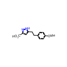 COc1ccc(CCc2cc(C(=O)O)n[nH]2)cc1